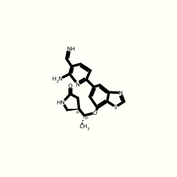 C[C@@H](Oc1cc(-c2ccc(C=N)c(N)n2)cc2ncsc12)[C@H]1CNC(=O)C1